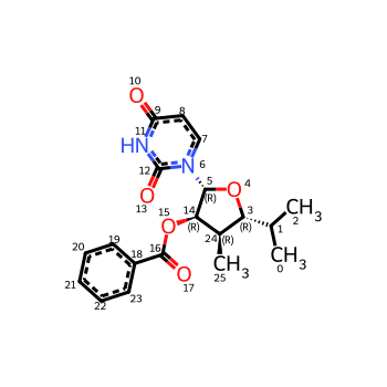 CC(C)[C@H]1O[C@@H](n2ccc(=O)[nH]c2=O)[C@H](OC(=O)c2ccccc2)[C@@H]1C